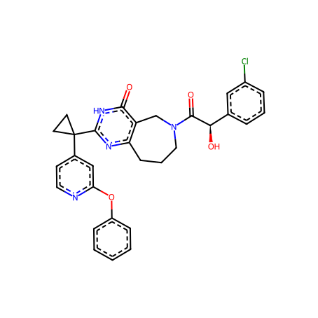 O=C([C@H](O)c1cccc(Cl)c1)N1CCCc2nc(C3(c4ccnc(Oc5ccccc5)c4)CC3)[nH]c(=O)c2C1